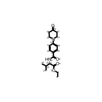 CCOC(=O)[C@@H](NC(=O)c1ccc(N2CCC(=O)CC2)cc1)C(C)C